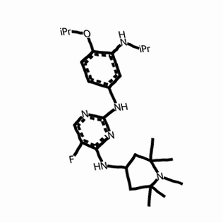 CC(C)Nc1cc(Nc2ncc(F)c(NC3CC(C)(C)N(C)C(C)(C)C3)n2)ccc1OC(C)C